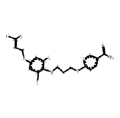 CC(=O)c1ccc(OCCCOc2c(Cl)cc(OCC=C(Cl)Cl)cc2Cl)nc1